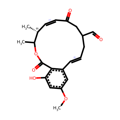 COc1cc(O)c2c(c1)/C=C/CC(C=O)CC(=O)/C=C\[C@@H](C)C(C)OC2=O